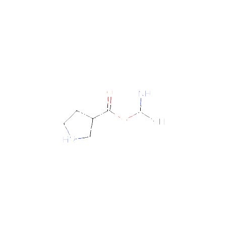 CC(N)OC(=O)[C]1CCNC1